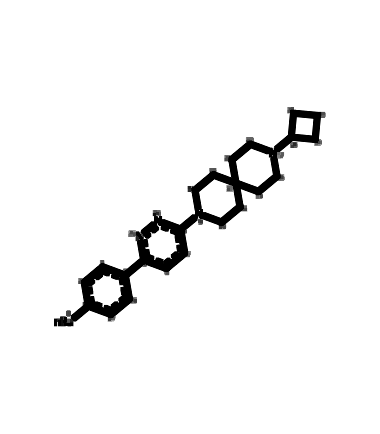 CCCCc1ccc(-c2ccc(N3CCC4(CC3)CCN(C3CCC3)CC4)nn2)cc1